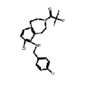 O=C(N1CCc2ccc(Cl)c(NCc3ccc(Cl)cc3)c2CC1)C(F)(F)F